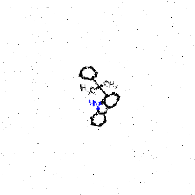 CC(C)(c1ccccc1)c1cccc2c1[nH]c1ccccc12